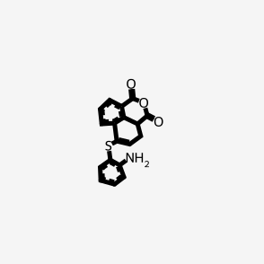 Nc1ccccc1SC1=CCC2C(=O)OC(=O)c3cccc1c32